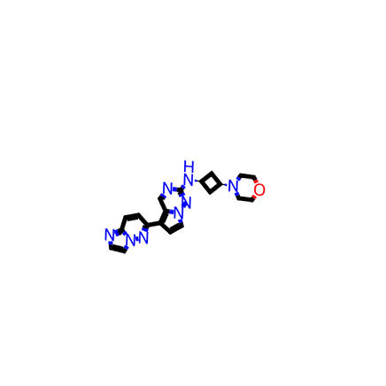 c1cn2nc(-c3ccn4nc(N[C@H]5C[C@@H](N6CCOCC6)C5)ncc34)ccc2n1